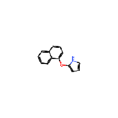 c1c[nH]c(Oc2cccc3ccccc23)c1